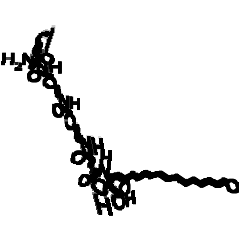 CC(N)(NC(=O)COCCNC(=O)COCCNC(=O)CC[C@H](NC(CCCCCCCCCCCCCCC=O)CC(=O)O)C(=O)O)C(=O)CCl